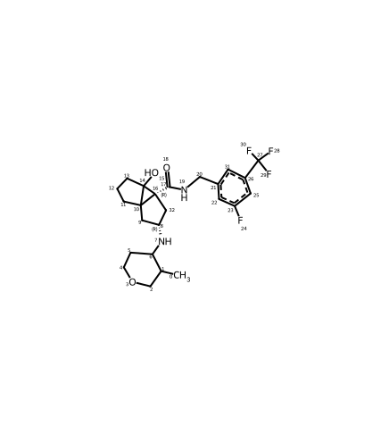 CC1COCCC1N[C@@H]1CC23CCCC2(O)[C@@]3(C(=O)NCc2cc(F)cc(C(F)(F)F)c2)C1